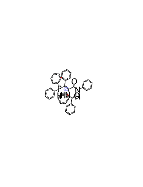 O=C(Nc1ccccc1)/C(NC(=O)c1ccccc1)=C(\c1ccccc1)[PH](c1ccccc1)(c1ccccc1)c1ccccc1